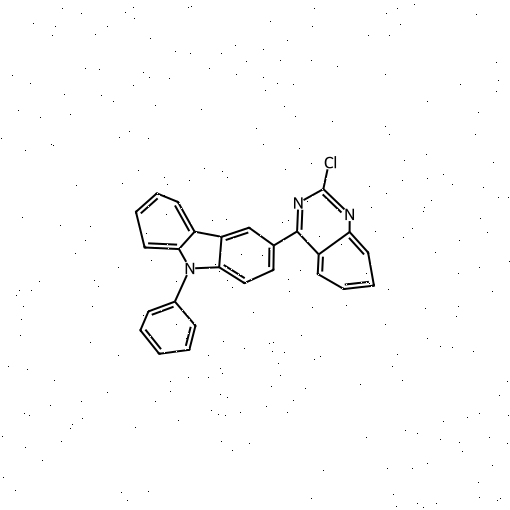 Clc1nc(-c2ccc3c(c2)c2ccccc2n3-c2ccccc2)c2ccccc2n1